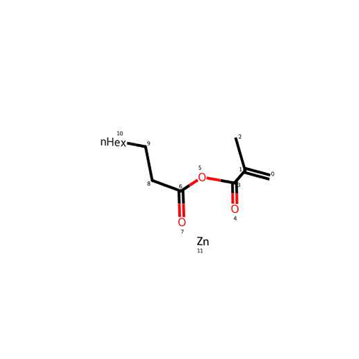 C=C(C)C(=O)OC(=O)CCCCCCCC.[Zn]